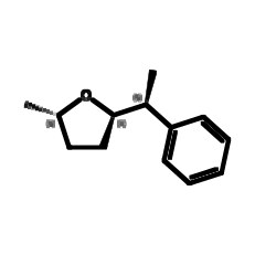 C[C@H]1CC[C@H]([C@@H](C)c2ccccc2)O1